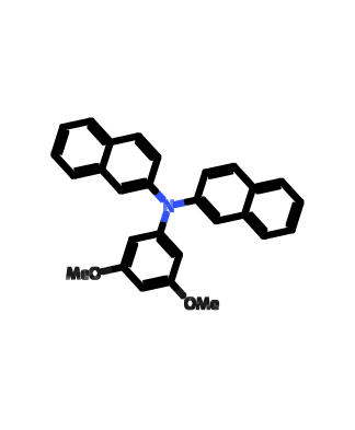 COc1cc(OC)cc(N(c2ccc3ccccc3c2)c2ccc3ccccc3c2)c1